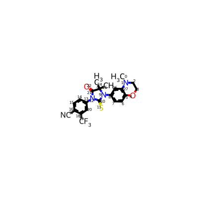 CN1CCOc2ccc(N3C(=S)N(c4ccc(C#N)c(C(F)(F)F)c4)C(=O)C3(C)C)cc21